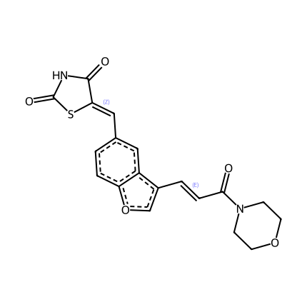 O=C1NC(=O)/C(=C/c2ccc3occ(/C=C/C(=O)N4CCOCC4)c3c2)S1